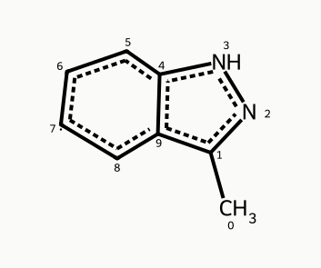 Cc1n[nH]c2cc[c]cc12